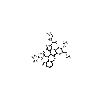 CCNC(=O)c1ncc2c(N(C(=O)OC(C)(C)C)c3c(C)cccc3Cl)nc3cc(OC)c(OC)cc3n12